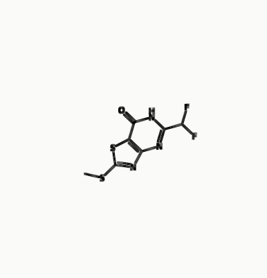 CSc1nc2nc(C(F)F)[nH]c(=O)c2s1